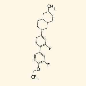 CC1CCC2CC(c3ccc(-c4ccc(OCC(F)(F)F)c(F)c4)c(F)c3)CCC2C1